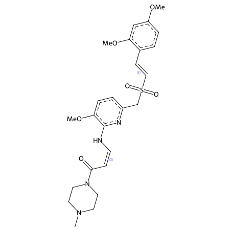 COc1ccc(/C=C/S(=O)(=O)Cc2ccc(OC)c(N/C=C\C(=O)N3CCN(C)CC3)n2)c(OC)c1